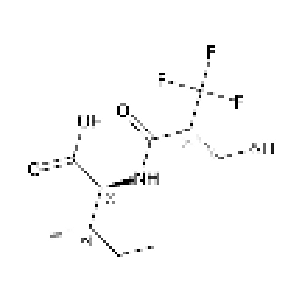 CC[C@H](C)[C@H](NC(=O)[C@@H](CS)C(F)(F)F)C(=O)O